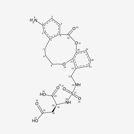 Nc1ccc2c(c1)CCCOc1c(CNS(=O)(=O)N[C@@H](CC(=O)O)C(=O)O)cccc1OC2=O